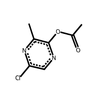 CC(=O)Oc1ncc(Cl)nc1C